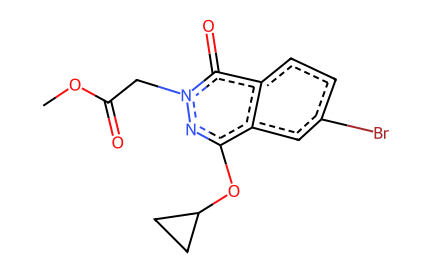 COC(=O)Cn1nc(OC2CC2)c2cc(Br)ccc2c1=O